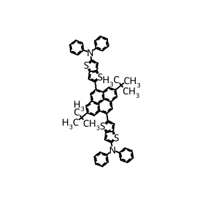 CC(C)(C)c1cc2cc(-c3cc4sc(N(c5ccccc5)c5ccccc5)cc4s3)c3cc(C(C)(C)C)cc4cc(-c5cc6sc(N(c7ccccc7)c7ccccc7)cc6s5)c(c1)c2c43